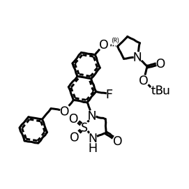 CC(C)(C)OC(=O)N1CC[C@@H](Oc2ccc3cc(OCc4ccccc4)c(N4CC(=O)NS4(=O)=O)c(F)c3c2)C1